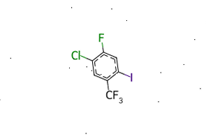 Fc1cc(I)c(C(F)(F)F)cc1Cl